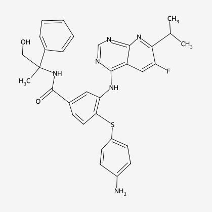 CC(C)c1nc2ncnc(Nc3cc(C(=O)NC(C)(CO)c4ccccc4)ccc3Sc3ccc(N)cc3)c2cc1F